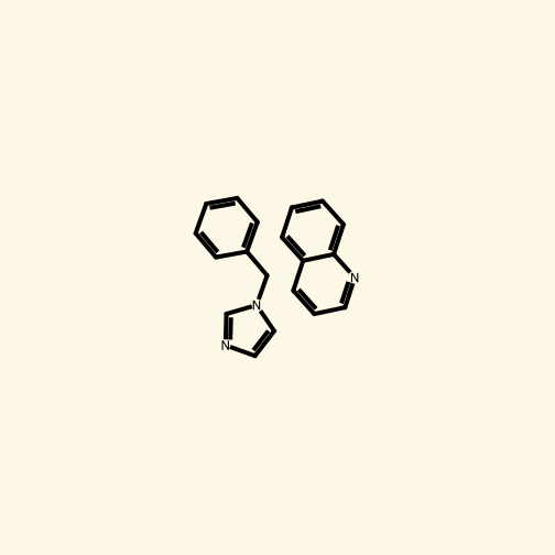 c1ccc(Cn2ccnc2)cc1.c1ccc2ncccc2c1